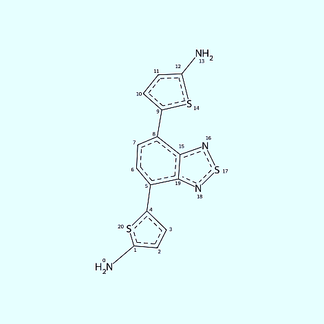 Nc1ccc(-c2ccc(-c3ccc(N)s3)c3nsnc23)s1